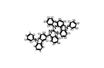 c1ccc(-n2c3ccccc3c3cc(-c4nc(-n5c6ccccc6c6ccc7c(c8ccccc8n7-c7ccccc7)c65)nc5ccccc45)ccc32)cc1